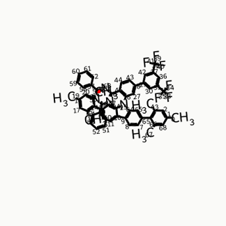 Cc1cc(C)c(-c2ccc3c4ccc(-c5c(C)cc(C)cc5C)cc4n(-c4cc(-c5cc(C(F)(F)F)cc(C(F)(F)F)c5)ccc4-c4nc(-c5ccccc5)nc(-c5ccccc5)n4)c3c2)c(C)c1